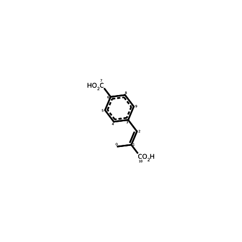 CC(=Cc1ccc(C(=O)O)cc1)C(=O)O